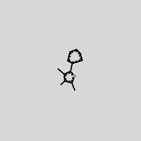 Cc1oc(-c2ccccc2)c(C)c1C